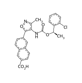 Cc1noc(-c2ccc3cc(C(=O)O)ccc3c2)c1NC(=O)O[C@H](C)c1ccccc1Cl